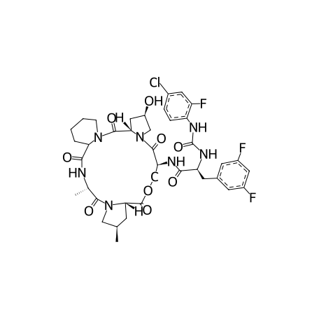 C[C@@H]1C[C@H]2C(=O)OC[C@H](NC(=O)[C@H](Cc3cc(F)cc(F)c3)NC(=O)Nc3ccc(Cl)cc3F)C(=O)N3C[C@H](O)C[C@H]3C(=O)N3CCCCC3C(=O)N[C@@H](C)C(=O)N2C1